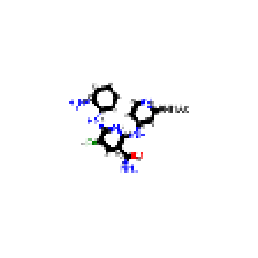 CC(=O)Nc1cc(Nc2nc(N[C@@H]3CCCC[C@@H]3N)c(F)cc2C(N)=O)ccn1